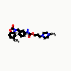 Cc1ccc2oc(=O)n(Cc3cccc(NC(=O)OCCCN4CCN(C)CC4)c3)c2c1